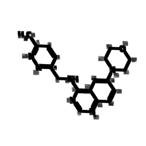 Cc1ccc(CNc2ncnc3ccc(N4CCOCC4)cc23)nn1